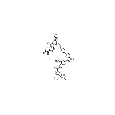 Cc1cc(-c2n[nH]c3ccc(-c4ccc(N5CCC(CN6CC7CCC(C6)N7c6ccc7c(c6)C(=O)N(C6CCC(=O)NC6=O)C7=O)CC5)cc4)cc23)ccc1CNC(=O)c1nc(C(C)(C)C)no1